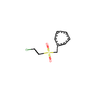 O=S(=O)(CCCl)Cc1ccccc1